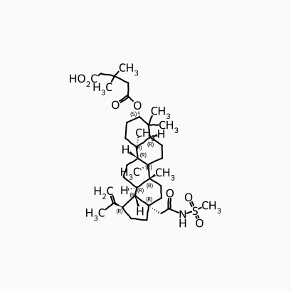 C=C(C)[C@@H]1CC[C@]2(CC(=O)NS(C)(=O)=O)CC[C@]3(C)[C@H](CC[C@@H]4[C@@]5(C)CC[C@H](OC(=O)CC(C)(C)CC(=O)O)C(C)(C)[C@@H]5CC[C@]43C)[C@@H]12